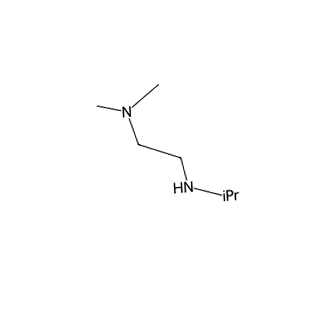 CC(C)NCCN(C)C